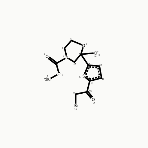 CC(C)(C)OC(=O)N1CCOC(c2ccc(C(=O)CBr)s2)(C(F)(F)F)C1